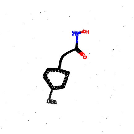 CC(C)COc1ccc(CC(=O)NO)cc1